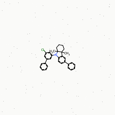 CC12CCCCC1(C)N(c1cc(Cl)cc(-c3ccccc3)c1)c1ccc(-c3ccccc3)cc12